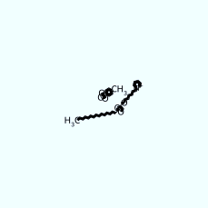 CCCCCCCCCCCCCCC[C@@H]1OC[C@@H](COCCCCCC[n+]2ccccc2)O1.Cc1ccc(S(=O)(=O)[O-])cc1